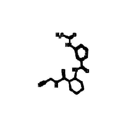 CC(=O)Nc1cccc(C(=O)NC2CCCCC2C(=O)NCC#N)c1